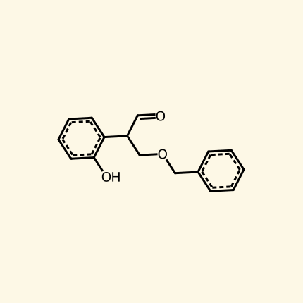 O=CC(COCc1ccccc1)c1ccccc1O